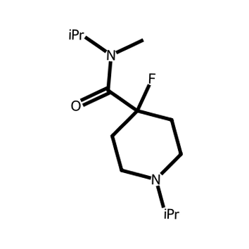 CC(C)N1CCC(F)(C(=O)N(C)C(C)C)CC1